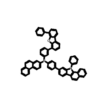 c1ccc(-c2cccc3c2oc2c(-c4cccc(N(c5ccc(-c6ccc7c8ccc9ccccc9c8n(-c8ccccc8)c7c6)cc5)c5ccc6c(ccc7ccccc76)c5)c4)cccc23)cc1